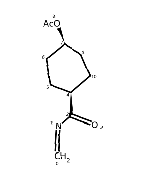 C=NC(=O)[C@H]1CC[C@@H](OC(C)=O)CC1